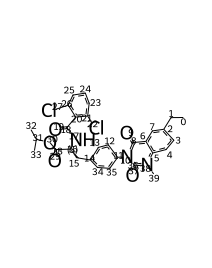 CCc1ccc2c(c1)c(=O)n(-c1ccc(C[C@H](NC(=O)c3c(Cl)cccc3Cl)C(=O)OC(C)C)cc1)c(=O)n2C